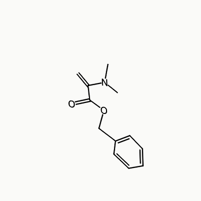 C=C(C(=O)OCc1ccccc1)N(C)C